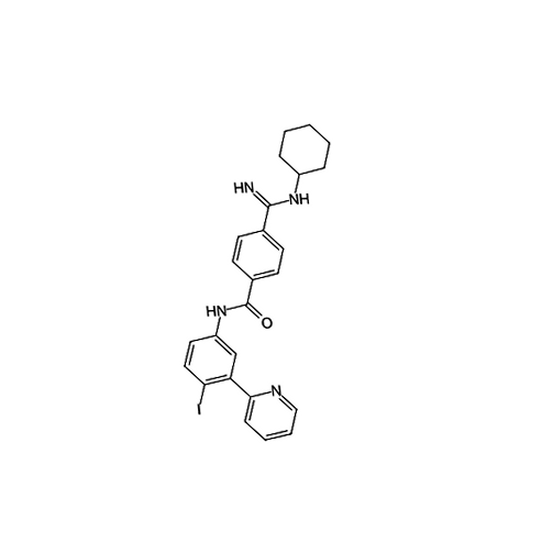 N=C(NC1CCCCC1)c1ccc(C(=O)Nc2ccc(I)c(-c3ccccn3)c2)cc1